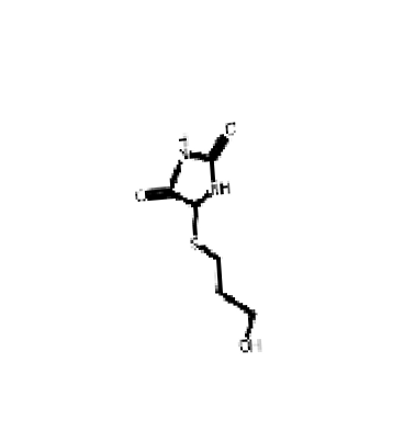 O=C1NC(=O)C(SCCCO)N1